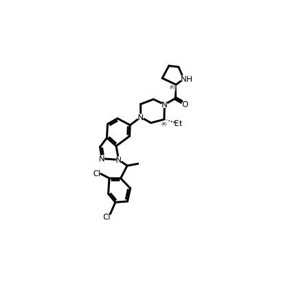 CC[C@@H]1CN(c2ccc3cnn(C(C)c4ccc(Cl)cc4Cl)c3c2)CCN1C(=O)[C@H]1CCCN1